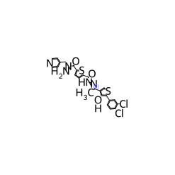 C/C(=N\NC(=O)c1ccc(C(=O)N(N)Cc2ccncc2)s1)c1csc(-c2ccc(Cl)c(Cl)c2)c1O